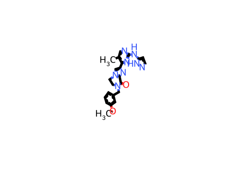 COc1cccc(CN2CCn3cc(-c4nc(Nc5ccn[nH]5)ncc4C)nc3C2=O)c1